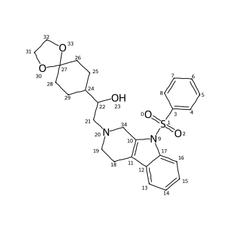 O=S(=O)(c1ccccc1)n1c2c(c3ccccc31)CCN(CC(O)C1CCC3(CC1)OCCO3)C2